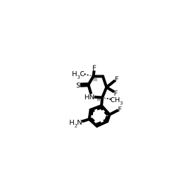 C[C@]1(F)CC(F)(F)[C@@](C)(c2cc(N)ccc2F)NC1=S